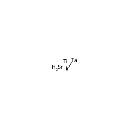 [SrH2].[Ta][Ir].[Ti]